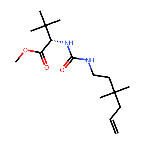 C=CCC(C)(C)CCNC(=O)N[C@H](C(=O)OC)C(C)(C)C